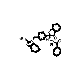 CCCCc1nc2ccccc2n1Cc1ccc(C2(NS(=O)(=O)C(=O)c3ccccc3)Cc3ccccc3S2)cc1